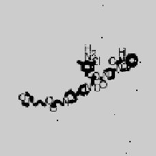 Cc1cc(C[C@@H](OC(=O)N2CCC(N3CCc4ccccc4NC3=O)CC2)C(=O)N2CCC(C3CCN(CCC(=O)OCCCN4CCOCC4)CC3)CC2)cc(Cl)c1N